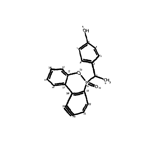 CC(c1ccc(O)cc1)P1(=O)Oc2ccccc2-c2c#cccc21